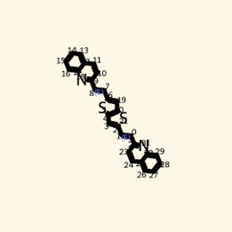 C(=C\c1cc2sc(/C=C/c3ccc4ccccc4n3)cc2s1)/c1ccc2ccccc2n1